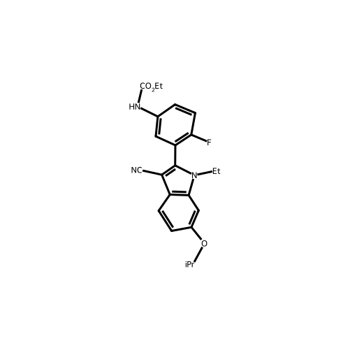 CCOC(=O)Nc1ccc(F)c(-c2c(C#N)c3ccc(OC(C)C)cc3n2CC)c1